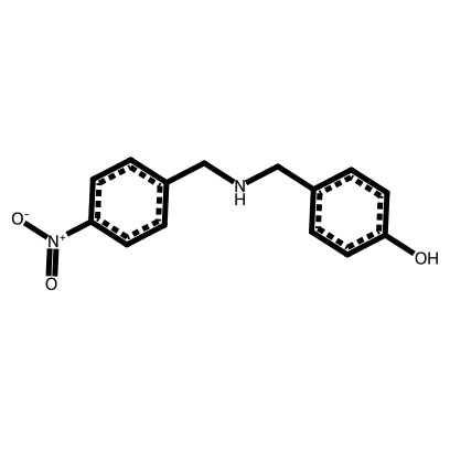 O=[N+]([O-])c1ccc(CNCc2ccc(O)cc2)cc1